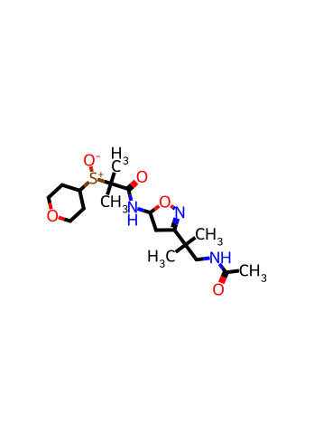 CC(=O)NCC(C)(C)C1=NOC(NC(=O)C(C)(C)[S+]([O-])C2CCOCC2)C1